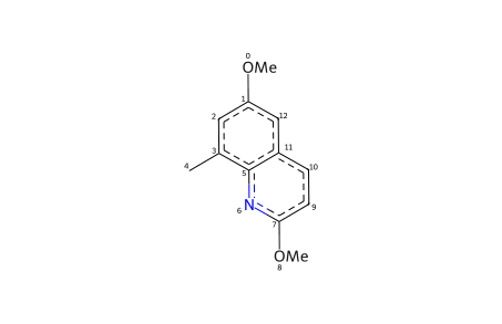 COc1cc(C)c2nc(OC)ccc2c1